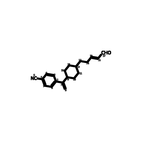 C=C(c1ccc(C#N)cc1)C1CCC(CCC=CC=O)CC1